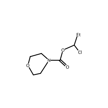 CCC(Cl)OC(=O)N1CCOCC1